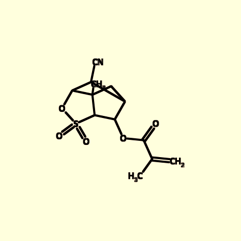 C=C(C)C(=O)OC1C2CC3(C)C(OS(=O)(=O)C13)C2C#N